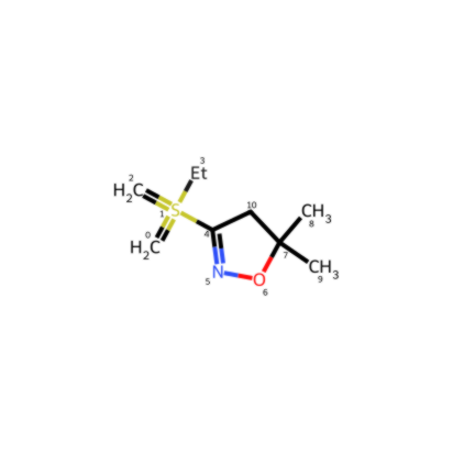 C=S(=C)(CC)C1=NOC(C)(C)C1